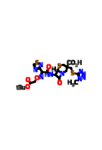 Cn1nnnc1SCC1(C(=O)O)CS[C@@H]2C(NC(=O)C(=NOCC(=O)OC(C)(C)C)c3ncsn3)C(=O)N2C1